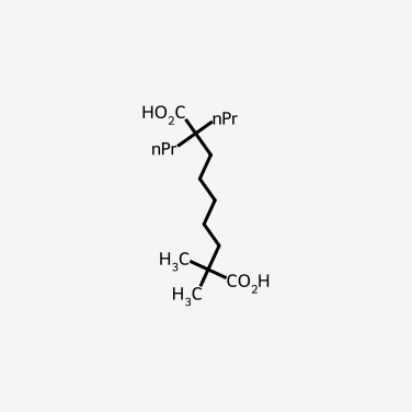 CCCC(CCC)(CCCCCC(C)(C)C(=O)O)C(=O)O